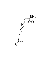 COC(=O)CCCCCCN(C)c1ccc(N)c(OC)c1